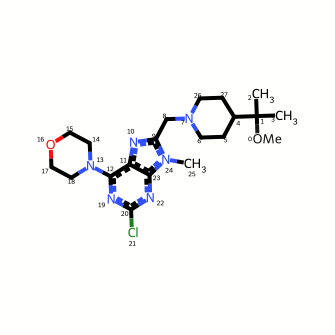 COC(C)(C)C1CCN(Cc2nc3c(N4CCOCC4)nc(Cl)nc3n2C)CC1